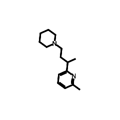 Cc1cccc(C(C)CCN2CCCCC2)n1